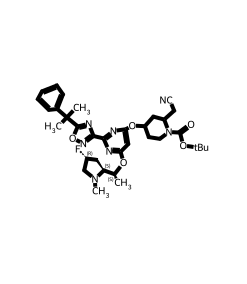 C[C@H](Oc1cc(OC2CCN(C(=O)OC(C)(C)C)C(CC#N)C2)nc(-c2noc(C(C)(C)c3ccccc3)n2)n1)[C@@H]1C[C@@H](F)CN1C